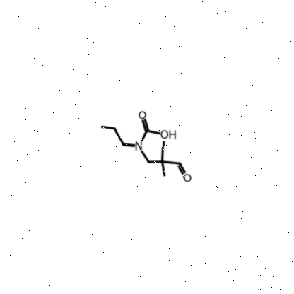 CCCN(CC(C)(C)C=O)C(=O)O